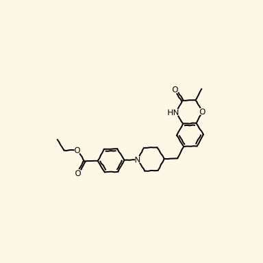 CCOC(=O)c1ccc(N2CCC(Cc3ccc4c(c3)NC(=O)C(C)O4)CC2)cc1